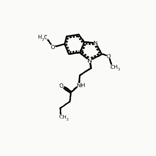 CCCC(=O)NCCn1c(OC)nc2ccc(OC)cc21